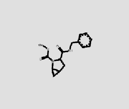 CC(C)(C)OC(=O)N1C(C(=O)NCc2ccccc2)CC2CC21